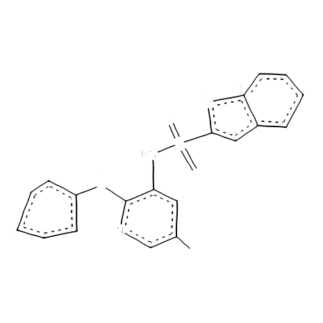 Cc1cnc(Sc2ccccc2)c(NS(=O)(=O)c2cc3ccccc3o2)c1